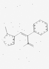 Cc1n[nH]cc1/C=C(\C(=O)O)c1ccccc1